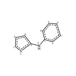 [c]1csc(Nc2ccccc2)c1